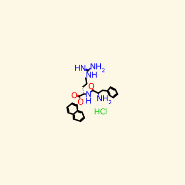 Cl.N=C(N)NCCC[C@H](NC(=O)[C@@H](N)Cc1ccccc1)C(=O)Oc1cccc2ccccc12